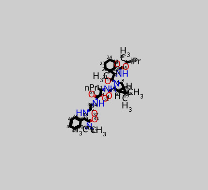 CCCC(NC(=O)[C@@H]1[C@@H]2[C@H](CN1C(=O)[C@@H](NC(=O)OC(C)C(C)C)C1(C)CCCCC1)C2(C)C)C(=O)C(=O)NCC(=O)N[C@H](C(=O)N(C)C)c1ccccc1